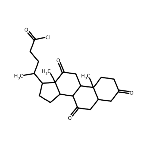 CC(CCC(=O)Cl)C1CCC2C3C(=O)CC4CC(=O)CCC4(C)C3CC(=O)C12C